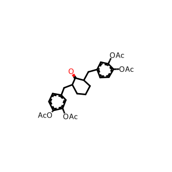 CC(=O)Oc1ccc(CC2CCCC(Cc3ccc(OC(C)=O)c(OC(C)=O)c3)C2=O)cc1OC(C)=O